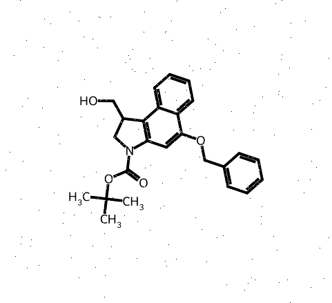 CC(C)(C)OC(=O)N1CC(CO)c2c1cc(OCc1ccccc1)c1ccccc21